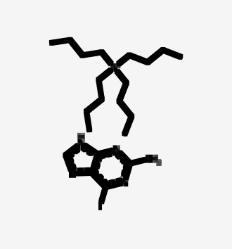 CCCC[N+](CCCC)(CCCC)CCCC.Nc1nc(I)c2nc[nH]c2n1